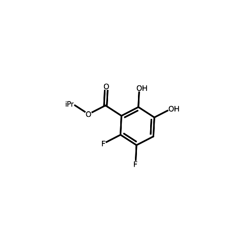 CC(C)OC(=O)c1c(O)c(O)cc(F)c1F